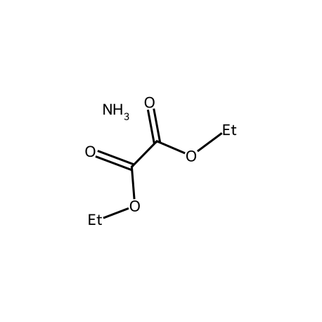 CCOC(=O)C(=O)OCC.N